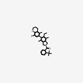 CCc1c(C)c2c(c(C)c1-c1cc(F)c3c(c1C)CCCO3)CN(C(=O)c1ccccc1C(C)(C)C)C2